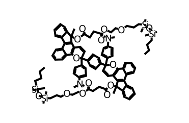 CCCC[Si](C)(C)O[Si](C)(C)CCCOCCOC(=O)CCC(=O)OC1(C)c2ccccc2-c2c1c1c(c3ccccc23)OC(c2ccc(N(C)C)cc2)(c2ccc(C3(c4ccc(N(C)C)cc4)C=Cc4c5c(c6ccccc6c4O3)-c3ccccc3C5(C)OC(=O)CCC(=O)OCCOCCC[Si](C)(C)O[Si](C)(C)CCCC)cc2)C=C1